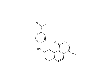 NC(=O)c1c(C(=O)O)ccc2c1CC(Nc1ccc([N+](=O)[O-])cn1)CC2